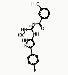 Cc1cccc(C(=O)/N=C(\Nc2cc(-c3ccc(F)cc3)n[nH]2)NC(C)(C)C)c1